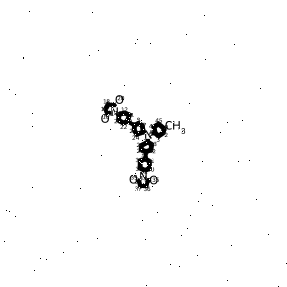 Cc1ccc(N(c2ccc(-c3ccc(N4C(=O)C=CC4=O)cc3)cc2)c2ccc(-c3ccc(N4C(=O)C=CC4=O)cc3)cc2)cc1